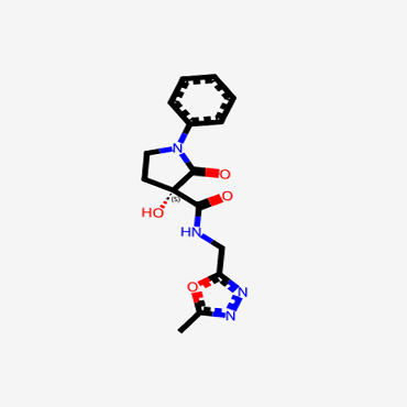 Cc1nnc(CNC(=O)[C@@]2(O)CCN(c3ccccc3)C2=O)o1